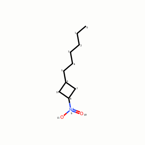 CCCCCCC1CC([N+](=O)[O-])C1